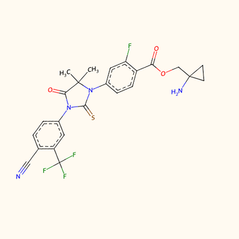 CC1(C)C(=O)N(c2ccc(C#N)c(C(F)(F)F)c2)C(=S)N1c1ccc(C(=O)OCC2(N)CC2)c(F)c1